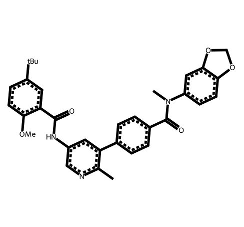 COc1ccc(C(C)(C)C)cc1C(=O)Nc1cnc(C)c(-c2ccc(C(=O)N(C)c3ccc4c(c3)OCO4)cc2)c1